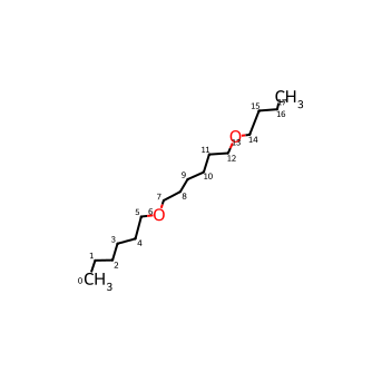 CCCCCCOCCCCCCOCCCC